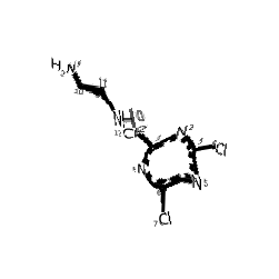 Clc1nc(Cl)nc(Cl)n1.NCCN